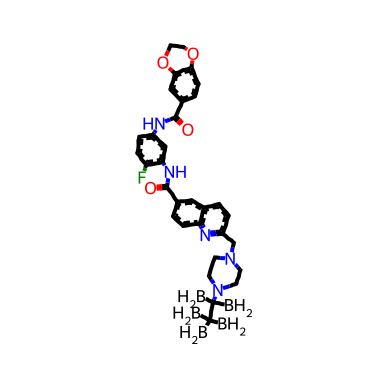 BC(B)(B)C(B)(B)N1CCN(Cc2ccc3cc(C(=O)Nc4cc(NC(=O)c5ccc6c(c5)OCCO6)ccc4F)ccc3n2)CC1